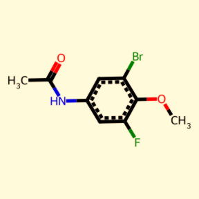 COc1c(F)cc(NC(C)=O)cc1Br